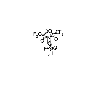 O=S(=O)(NS(=O)(=O)C(F)(F)F)C(F)(F)F.[Li][S](=O)(=O)F